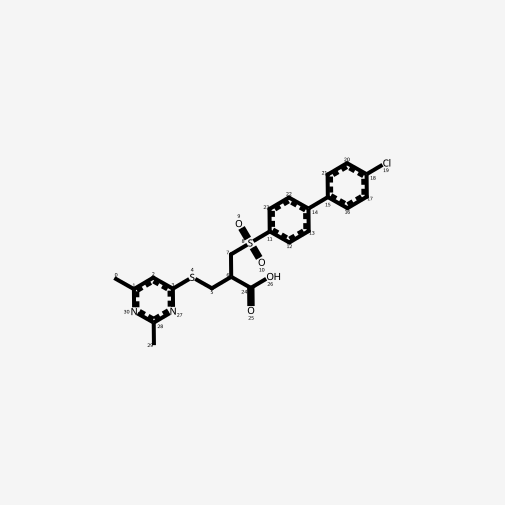 Cc1cc(SCC(CS(=O)(=O)c2ccc(-c3ccc(Cl)cc3)cc2)C(=O)O)nc(C)n1